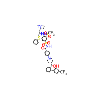 CN1CCCC1CC(CSc1ccccc1)Nc1ccc(S(=O)(=O)NC(=O)c2ccc(N3CCC([C@@H](O)c4ccccc4-c4ccc(C(F)(F)F)cc4)CC3)cc2)cc1S(=O)(=O)C(F)(F)F